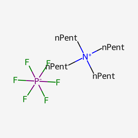 CCCCC[N+](CCCCC)(CCCCC)CCCCC.F[P-](F)(F)(F)(F)F